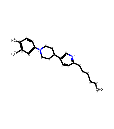 N#Cc1ccc(N2CCC(c3ccc(CCCCCC=O)nc3)CC2)cc1C(F)(F)F